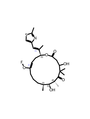 C/C(=C\c1csc(C)n1)[C@@H]1C/C=C(/OF)CCC[C@H](C)[C@H](O)[C@@H](C)C(=O)C(C)(C)C(O)CC(=O)O1